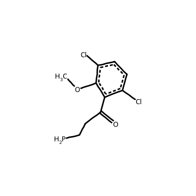 COc1c(Cl)ccc(Cl)c1C(=O)CCP